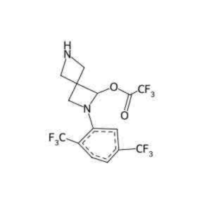 O=C(OC1N(c2cc(C(F)(F)F)ccc2C(F)(F)F)CC12CNC2)C(F)(F)F